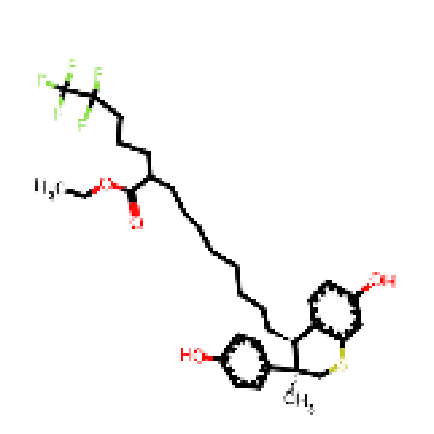 CCOC(=O)C(CCCCCCCC[C@H]1c2ccc(O)cc2SC[C@@]1(C)c1ccc(O)cc1)CCCC(F)(F)C(F)(F)F